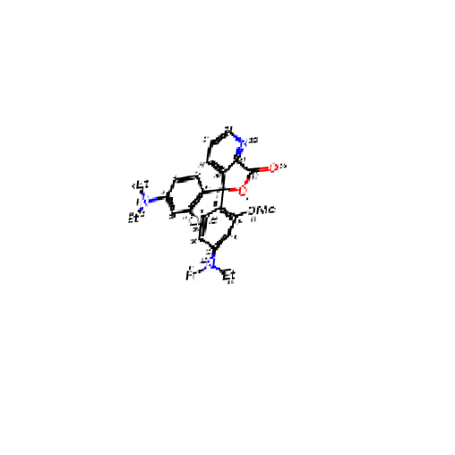 CCN(CC)c1ccc(C2(c3ccc(N(CC)CC)cc3OC)OC(=O)c3ncccc32)c(OC)c1